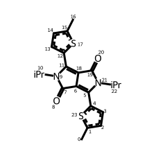 Cc1ccc(C2=C3C(=O)N(C(C)C)C(c4ccc(C)s4)=C3C(=O)N2C(C)C)s1